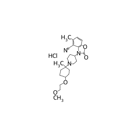 COCCOC1CCC(C)(N2CCC(n3c(=O)oc4ccc(C)c(C#N)c43)CC2)CC1.Cl